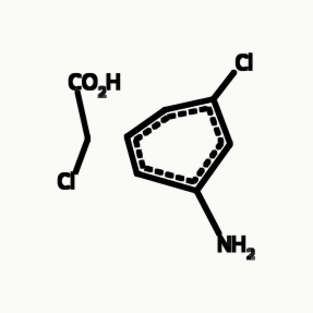 Nc1cccc(Cl)c1.O=C(O)CCl